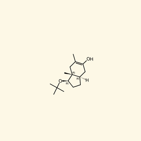 CC1=C(O)C[C@H]2CC[C@@H](OC(C)(C)C)[C@]2(C)C1